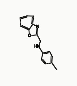 Cc1ccc(NCc2nc3ccccc3o2)cc1